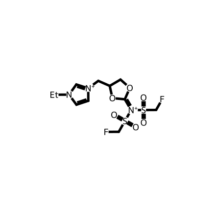 CCn1cc[n+](CC2COC(=[N+](S(=O)(=O)CF)S(=O)(=O)CF)O2)c1